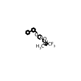 Cc1cc(C(F)(F)F)nn1CC(=O)N1CCC(OCc2cccc(-c3ccccc3)c2)CC1